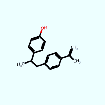 C=C(C)c1ccc(CC(C)c2ccc(O)cc2)cc1